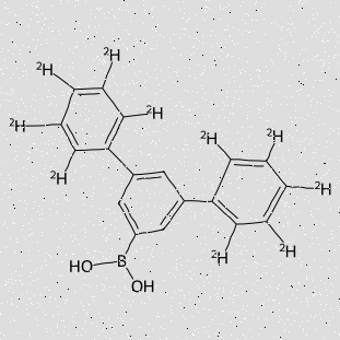 [2H]c1c([2H])c([2H])c(-c2cc(B(O)O)cc(-c3c([2H])c([2H])c([2H])c([2H])c3[2H])c2)c([2H])c1[2H]